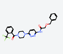 O=C(COCc1ccccc1)Nc1ccc(N2CCN(C(=O)c3ccccc3C(F)(F)F)CC2)nn1